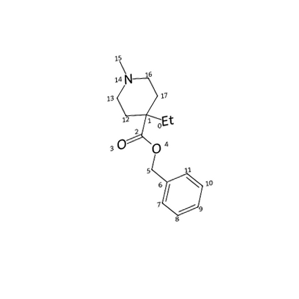 CCC1(C(=O)OCc2ccccc2)CCN(C)CC1